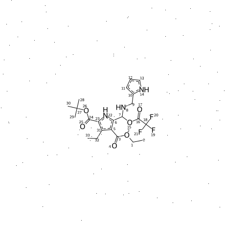 CCOC(=O)c1c(C(NCc2ccc[nH]2)OC(=O)C(F)(F)F)[nH]c(C(=O)OC(C)(C)C)c1CC